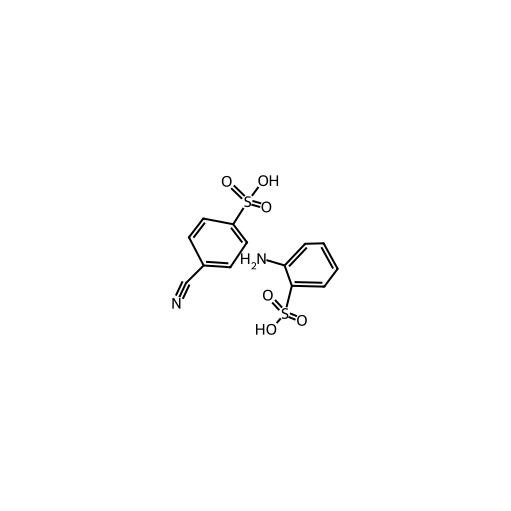 N#Cc1ccc(S(=O)(=O)O)cc1.Nc1ccccc1S(=O)(=O)O